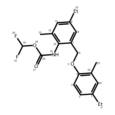 CCc1ccc(OCc2cc(CC)cc(C)c2NC(=O)OC(F)F)c(C)c1